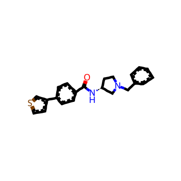 O=C(N[C@@H]1CCN(Cc2ccccc2)C1)c1ccc(-c2ccsc2)cc1